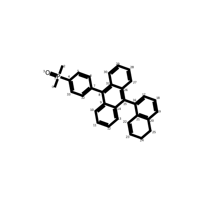 CP(C)(=O)c1ccc(-c2c3ccccc3c(-c3cccc4c3C=CCC4)c3ccccc23)cc1